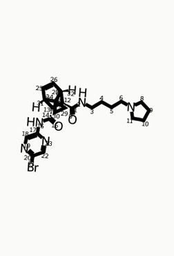 O=C(NCCCCN1CCCC1)[C@H]1[C@H](C(=O)Nc2cnc(Br)cn2)[C@@H]2C=C[C@H]1C21CC1